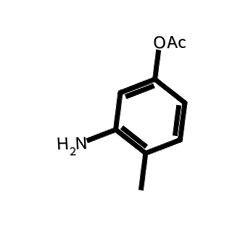 CC(=O)Oc1ccc(C)c(N)c1